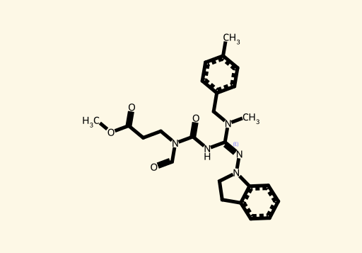 COC(=O)CCN(C=O)C(=O)N/C(=N\N1CCc2ccccc21)N(C)Cc1ccc(C)cc1